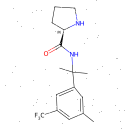 Cc1cc(C(F)(F)F)cc(C(C)(C)NC(=O)[C@H]2CCCN2)c1